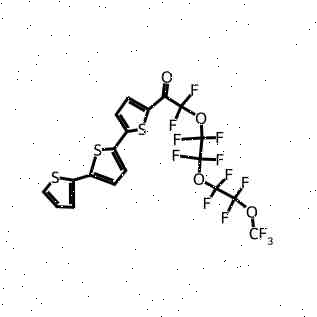 O=C(c1ccc(-c2ccc(-c3cccs3)s2)s1)C(F)(F)OC(F)(F)C(F)(F)OC(F)(F)C(F)(F)OC(F)(F)F